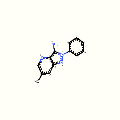 N#Cc1cnc2c(N)n(-c3ccccc3)nc2c1